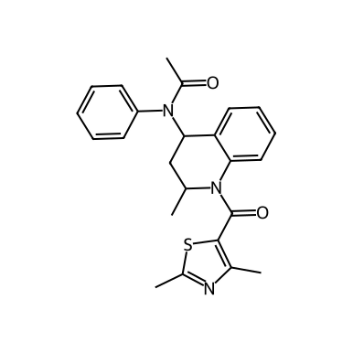 CC(=O)N(c1ccccc1)C1CC(C)N(C(=O)c2sc(C)nc2C)c2ccccc21